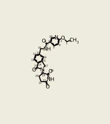 CCOc1ccc(C(=O)NCc2ccc3c(c2)CN([C@@H]2CCC(=O)NC2=O)C3=O)cn1